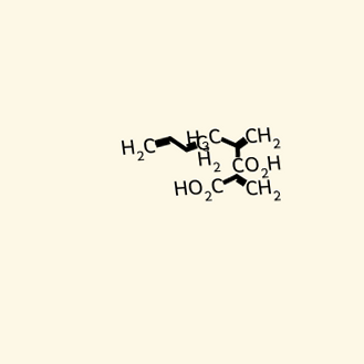 C=C(C)C(=O)O.C=CC(=O)O.C=CC=C